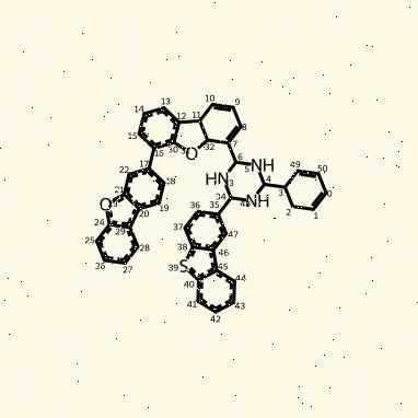 C1=CCC(C2NC(C3=CC=CC4c5cccc(-c6ccc7c(c6)oc6ccccc67)c5OC34)NC(c3ccc4sc5ccccc5c4c3)N2)C=C1